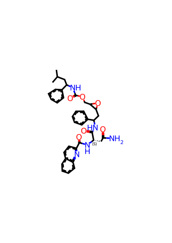 CC(C)CC(NC(=O)OCC1OC1CC(NC(=O)[C@H](CC(N)=O)NC(=O)c1ccc2ccccc2n1)c1ccccc1)c1ccccc1